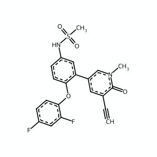 C#Cc1cc(-c2cc(NS(C)(=O)=O)ccc2Oc2ccc(F)cc2F)cn(C)c1=O